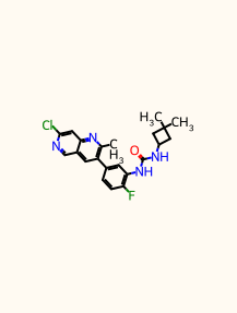 Cc1nc2cc(Cl)ncc2cc1-c1ccc(F)c(NC(=O)NC2CC(C)(C)C2)c1